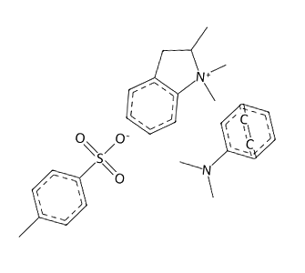 CC1Cc2ccccc2[N+]1(C)C.CN(C)c1cc2ccc1cc2.Cc1ccc(S(=O)(=O)[O-])cc1